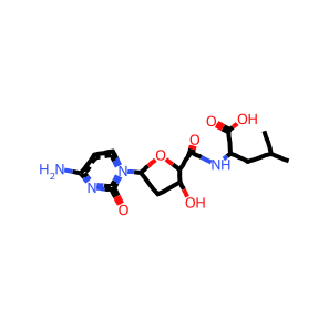 CC(C)CC(NC(=O)C1OC(n2ccc(N)nc2=O)CC1O)C(=O)O